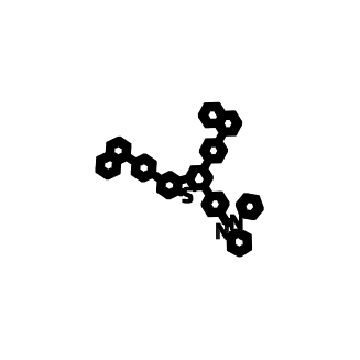 C1=C(c2ccc(-c3cccc4ccccc34)cc2)C=C2c3cc(-c4ccc(-c5cccc6ccccc56)cc4)ccc3SC2C1c1ccc(-c2nc3ccccc3n2-c2ccccc2)cc1